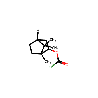 CC1(C)[C@@H]2CC[C@@]1(C)[C@H](OC(=O)Cl)C2